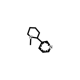 CN1CCCCC1c1cccnc1